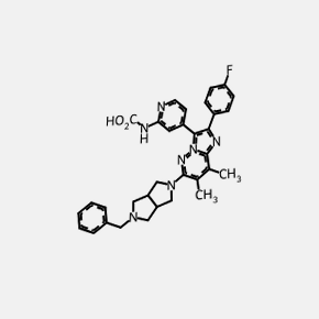 Cc1c(N2CC3CN(Cc4ccccc4)CC3C2)nn2c(-c3ccnc(NC(=O)O)c3)c(-c3ccc(F)cc3)nc2c1C